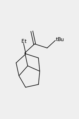 C=C(CC1C2CCC1CC(CC)C2)CC(C)(C)C